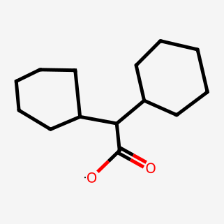 [O]C(=O)C(C1CCCCC1)C1CCCCC1